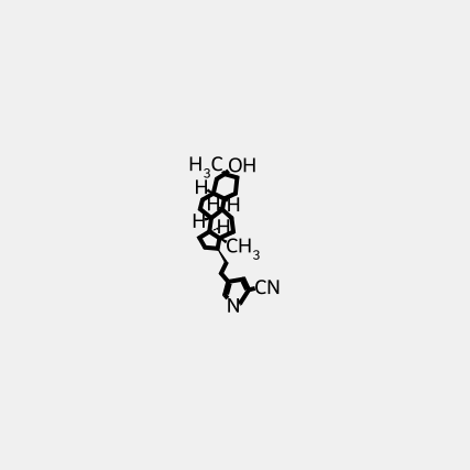 C[C@@]1(O)CC[C@H]2[C@H](CC[C@@H]3[C@@H]2CC[C@]2(C)[C@@H](CCc4cncc(C#N)c4)CC[C@@H]32)C1